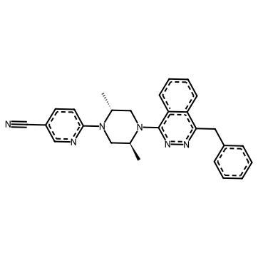 C[C@@H]1CN(c2nnc(Cc3ccccc3)c3ccccc23)[C@@H](C)CN1c1ccc(C#N)cn1